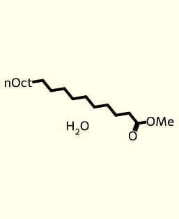 CCCCCCCCCCCCCCCCCC(=O)OC.O